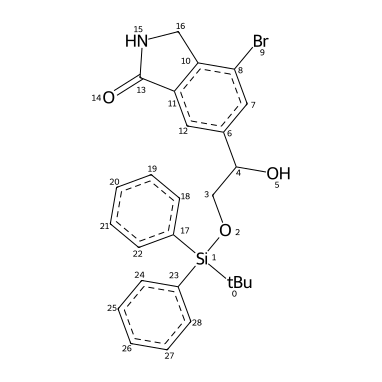 CC(C)(C)[Si](OCC(O)c1cc(Br)c2c(c1)C(=O)NC2)(c1ccccc1)c1ccccc1